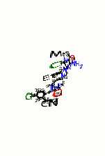 CC[C@H]1CN(c2nc(N)c(C(=O)OC)nc2Cl)CCN1C1CCN(C(=O)c2ccc(Cl)cc2C(C)C#N)CC1